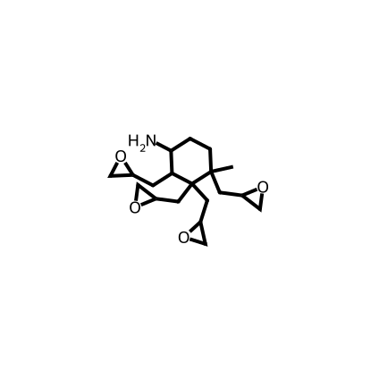 CC1(CC2CO2)CCC(N)C(CC2CO2)C1(CC1CO1)CC1CO1